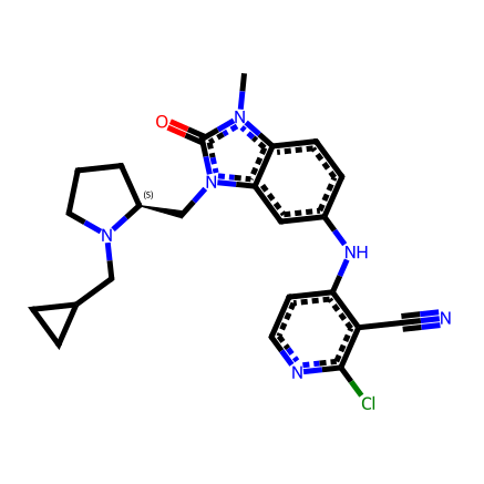 Cn1c(=O)n(C[C@@H]2CCCN2CC2CC2)c2cc(Nc3ccnc(Cl)c3C#N)ccc21